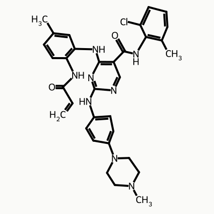 C=CC(=O)Nc1ccc(C)cc1Nc1nc(Nc2ccc(N3CCN(C)CC3)cc2)ncc1C(=O)Nc1c(C)cccc1Cl